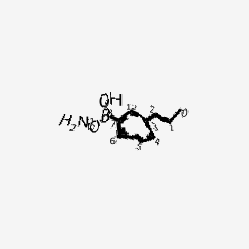 CC=Cc1cccc(B(O)ON)c1